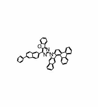 c1ccc(-c2ccc3cc(-c4nc(-n5c6cc7ccccc7cc6c6c7c8ccccc8c8ccccc8c7ccc65)nc5c4oc4ccccc45)ccc3c2)cc1